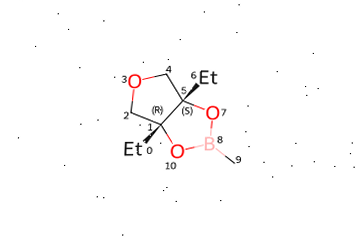 CC[C@@]12COC[C@]1(CC)OB(C)O2